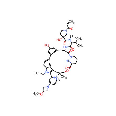 C=CC(=O)N1CC[C@](O)(C(=O)N(C)[C@H](C(=O)N[C@H]2Cc3cc(O)cc(c3)-c3ccc4c(c3)c(c(-c3cc(N5CC(OC)C5)ccn3)n4CC)CC(C)(C)COCC3(C=O)CCCN(N3)C2=O)C(C)C)C1